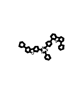 c1ccc(-c2ccc3oc4cc(-c5nc(-c6ccccc6)nc(-c6ccc(-c7cccc8c7sc7c(-c9ccccc9)cccc78)cc6)n5)ccc4c3c2)cc1